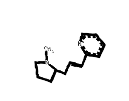 CN1CCCC1C/C=C/c1ccccn1